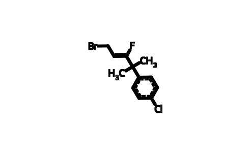 CC(C)(C(F)=CCBr)c1ccc(Cl)cc1